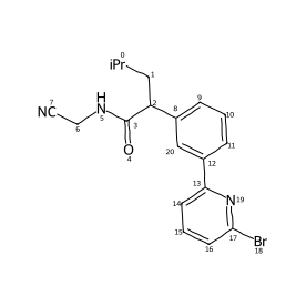 CC(C)CC(C(=O)NCC#N)c1cccc(-c2cccc(Br)n2)c1